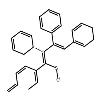 C=C\C=C/C(=C\C)C(/SCl)=C(/C(=C/C1=CCCC=C1)c1ccccc1)[C@H]1C=CC=CC1